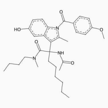 CCCCCCC(NC(C)=O)(C(=O)N(C)CCCC)c1c(C)n(C(=O)c2ccc(OC)cc2)c2ccc(O)cc12